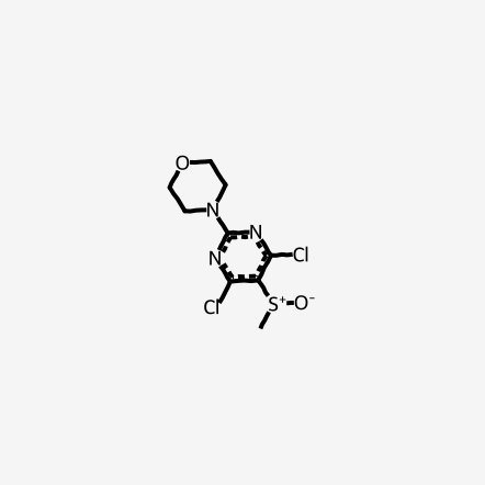 C[S+]([O-])c1c(Cl)nc(N2CCOCC2)nc1Cl